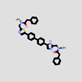 CCCN(Cc1ncc(-c2ccc(-c3ccc(-c4cnc(CN(CCC)C(=O)Cc5ccccc5)s4)cc3)cc2)[nH]1)C(=O)Cc1ccccc1